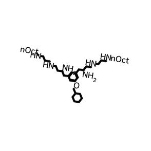 CCCCCCCCNCCCNCCC(N)Cc1cc(CC(N)CCNCCCNCCCCCCCC)cc(OCC2CCCCC2)c1